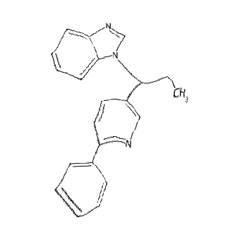 CCC(c1ccc(-c2ccccc2)nc1)n1cnc2ccccc21